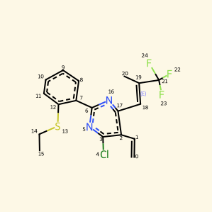 C=Cc1c(Cl)nc(-c2ccccc2SCC)nc1/C=C(\C)C(F)(F)F